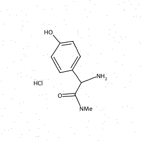 CNC(=O)C(N)c1ccc(O)cc1.Cl